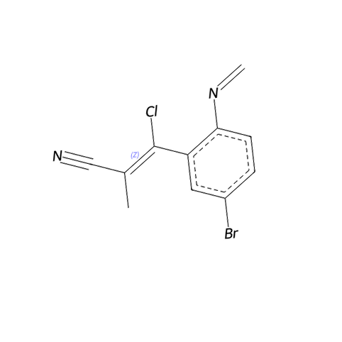 C=Nc1ccc(Br)cc1/C(Cl)=C(\C)C#N